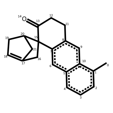 Cc1cccc2cc3c(cc12)CCC(=O)C31CC2=CCC1C2